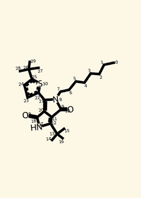 CCCCCCCCN1C(=O)C2=C(C(C)(C)C)NC(=O)C2=C1c1ccc(C(C)(C)C)s1